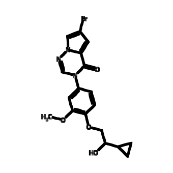 COc1cc(-n2cnn3cc(Br)cc3c2=O)ccc1OCC(O)C1CC1